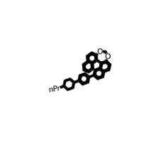 CCCC1CCC(c2ccc(-c3ccc4ccc5c(c4c3)-c3c(ccc4ccccc34)OCO5)cc2)CC1